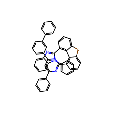 c1ccc(-c2cccc(-c3cc(-c4ccccc4)nc(-c4cccc5sc6cccc(-c7nc8ccccc8n7-c7ccccc7)c6c45)n3)c2)cc1